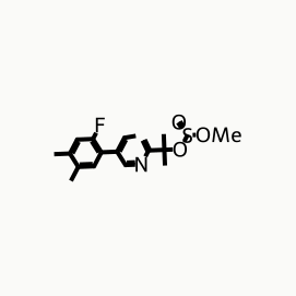 C=C(/N=C\C(=C/C)c1cc(C)c(C)cc1F)C(C)(C)OS(=O)OC